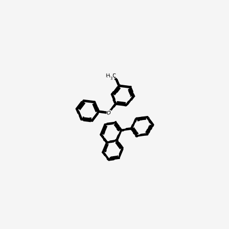 Cc1cccc(Oc2ccccc2)c1.c1ccc(-c2cccc3ccccc23)cc1